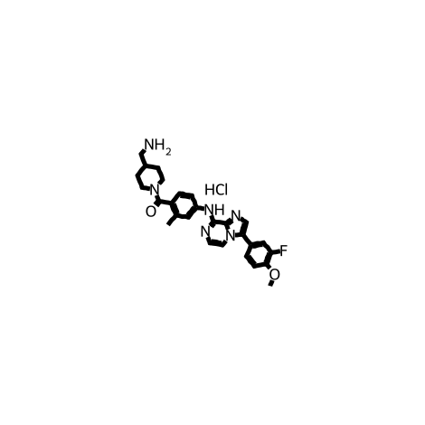 COc1ccc(-c2cnc3c(Nc4ccc(C(=O)N5CCC(CN)CC5)c(C)c4)nccn23)cc1F.Cl